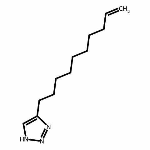 C=CCCCCCCCCc1c[nH]nn1